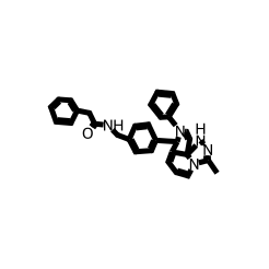 CC1=NNC23C=CN(c4ccccc4)C(c4ccc(CNC(=O)Cc5ccccc5)cc4)C2=CC=CN13